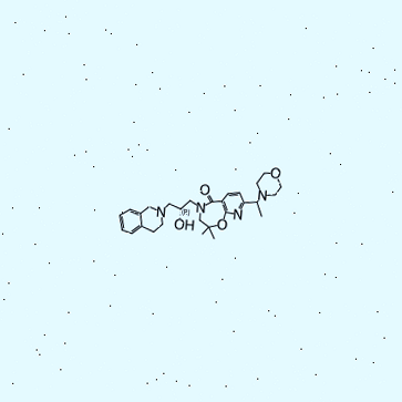 CC(c1ccc2c(n1)OC(C)(C)CN(C[C@H](O)CN1CCc3ccccc3C1)C2=O)N1CCOCC1